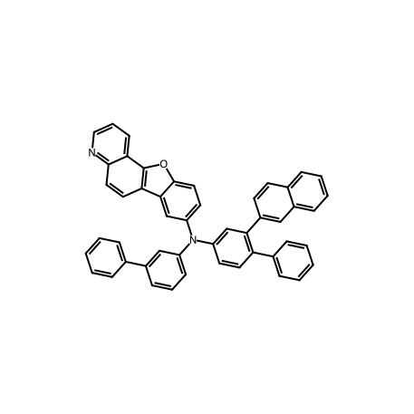 c1ccc(-c2cccc(N(c3ccc(-c4ccccc4)c(-c4ccc5ccccc5c4)c3)c3ccc4oc5c6cccnc6ccc5c4c3)c2)cc1